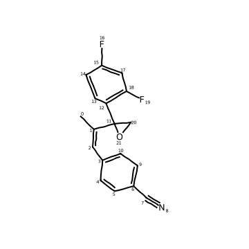 CC(=Cc1ccc(C#N)cc1)C1(c2ccc(F)cc2F)CO1